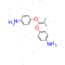 CC(C)=C(Oc1ccc(N)cc1)Oc1ccc(N)cc1